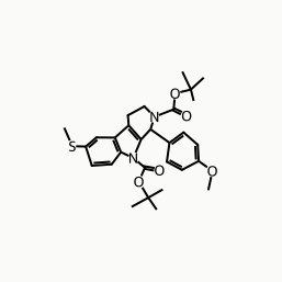 COc1ccc(C2c3c(c4cc(SC)ccc4n3C(=O)OC(C)(C)C)CCN2C(=O)OC(C)(C)C)cc1